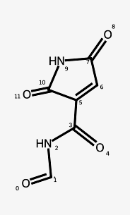 O=[C]NC(=O)C1=CC(=O)NC1=O